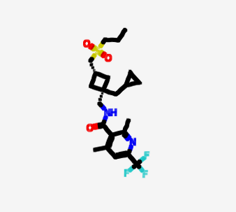 CCCS(=O)(=O)C[C@H]1C[C@](CNC(=O)c2c(C)cc(C(F)(F)F)nc2C)(CC2CC2)C1